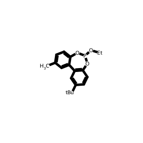 CCOp1oc2ccc(C)cc2c2cc(C(C)(C)C)ccc2o1